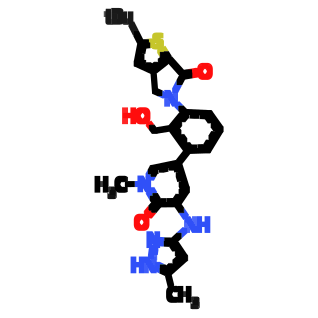 Cc1cc(Nc2cc(-c3cccc(N4Cc5cc(C(C)(C)C)sc5C4=O)c3CO)cn(C)c2=O)n[nH]1